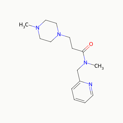 CN1CCN(CCC(=O)N(C)Cc2ccccn2)CC1